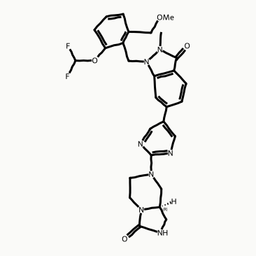 COCc1cccc(OC(F)F)c1Cn1c2cc(-c3cnc(N4CCN5C(=O)NC[C@@H]5C4)nc3)ccc2c(=O)n1C